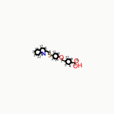 O=C(O)c1ccc(COc2ccc(SCc3ccc4ccccc4n3)cc2)cc1